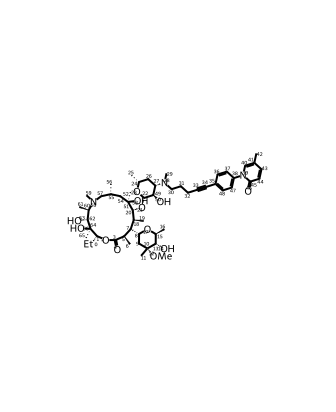 CC[C@H]1OC(=O)[C@H](C)C([C@H]2C[C@@](C)(OC)[C@@H](O)[C@H](C)O2)[C@H](C)[C@@H](O[C@@H]2O[C@H](C)C[C@H](N(C)CCCC#Cc3ccc(-n4cc(C)ccc4=O)cc3)[C@H]2O)[C@](C)(O)C[C@@H](C)CN(C)[C@H](C)[C@@H](O)[C@]1(C)O